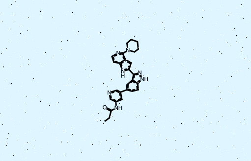 CCC(=O)Nc1cncc(-c2ccc3[nH]nc(-c4cc5c(N6CCCCC6)nccc5[nH]4)c3c2)c1